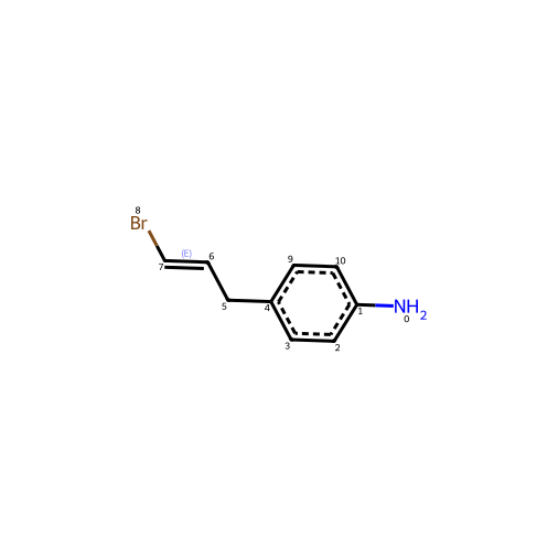 Nc1ccc(C/C=C/Br)cc1